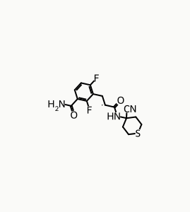 N#CC1(NC(=O)[CH]Cc2c(F)ccc(C(N)=O)c2F)CCSCC1